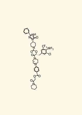 Nc1c(Cl)cc(C[C@@H](OC(=O)N2CCC(n3nc(-c4ccccc4)[nH]c3=O)CC2)C(=O)N2CCN(c3ccc(C(=O)OCC(=O)N4CCCCC4)cc3)CC2)cc1C(F)(F)F